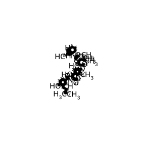 C#C[C@H]1C[C@H]2CCCC(NC(=O)O[C@H]3[C@@H](O)[C@H](Oc4ccc5c(O)c(NC(=O)c6ccc(O)c(CC=C(C)C)c6)c(=O)oc5c4C)OC(C)(C)[C@@H]3OC)(C1)C2